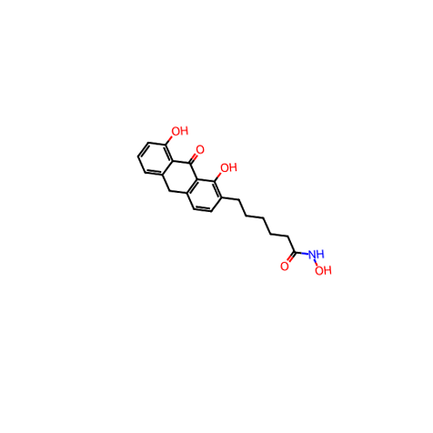 O=C(CCCCCc1ccc2c(c1O)C(=O)c1c(O)cccc1C2)NO